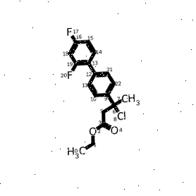 CCOC(=O)CC(C)(Cl)c1ccc(-c2ccc(F)cc2F)cc1